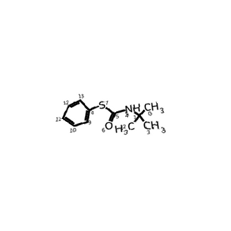 CC(C)(C)NC(=O)Sc1ccccc1